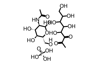 CC(=O)C(=O)C(O)C(O)C(O)C(O)CO.CC(=O)N[C@H]1C(O)O[C@H](CO)[C@@H](O)[C@@H]1O.O=P(O)(O)O